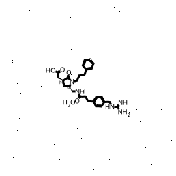 N=C(N)NCc1ccc(CCC(=O)NC[C@@H]2C[C@@H](CC(=O)O)C(=O)N2CCCc2ccccc2)cc1.O